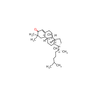 CC(C)CCC[C@@H](C)[C@H]1CC[C@H]2[C@@H]3CCC4=CC(=O)C(C)(C)C[C@]4(C)[C@H]3CC[C@]12C